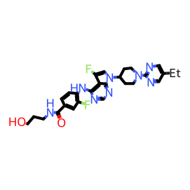 CCc1cnc(N2CCC(n3cc(F)c4c(Nc5ccc(C(=O)NCCCO)cc5F)ncnc43)CC2)nc1